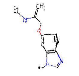 C=C(COc1ccc2ncn(C(C)C)c2c1)NCC